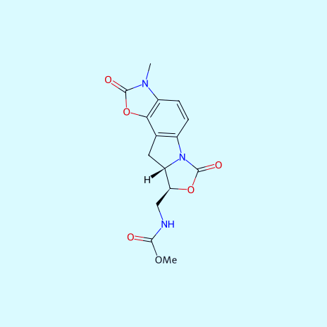 COC(=O)NC[C@@H]1OC(=O)N2c3ccc4c(oc(=O)n4C)c3C[C@@H]12